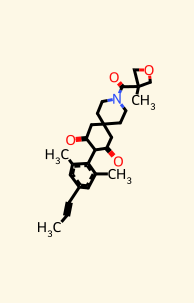 CC#Cc1cc(C)c(C2C(=O)CC3(CCN(C(=O)C4(C)COC4)CC3)CC2=O)c(C)c1